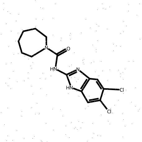 O=C(Nc1nc2cc(Cl)c(Cl)cc2[nH]1)N1CCCCCC1